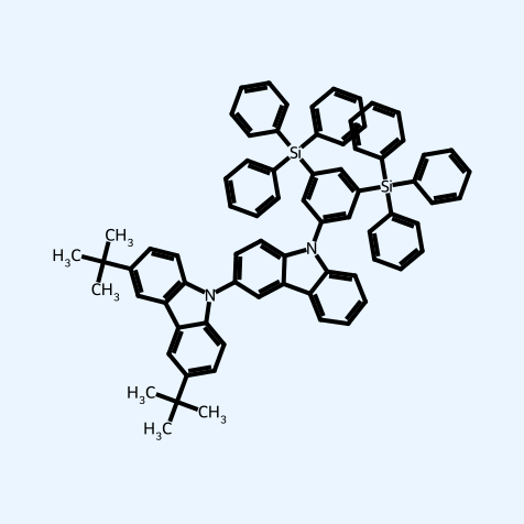 CC(C)(C)c1ccc2c(c1)c1cc(C(C)(C)C)ccc1n2-c1ccc2c(c1)c1ccccc1n2-c1cc([Si](c2ccccc2)(c2ccccc2)c2ccccc2)cc([Si](c2ccccc2)(c2ccccc2)c2ccccc2)c1